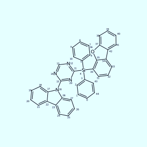 c1ccc([Si](c2ccccc2)(c2ncnc(-n3c4ccccc4c4ccccc43)n2)c2cccc3c2oc2ccccc23)cc1